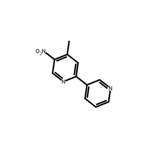 Cc1cc(-c2cccnc2)ncc1[N+](=O)[O-]